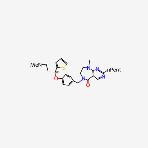 CCCCCc1ncc2c(n1)N(C)CCN(Cc1ccc(O[C@H](CCNC)c3cccs3)cc1)C2=O